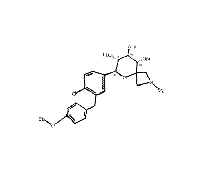 CCOc1ccc(Cc2cc([C@@H]3OC4(CN(CC)C4)[C@@H](O)[C@H](O)[C@H]3O)ccc2Cl)cc1